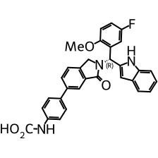 COc1ccc(F)cc1[C@H](c1cc2ccccc2[nH]1)N1Cc2ccc(-c3ccc(NC(=O)O)cc3)cc2C1=O